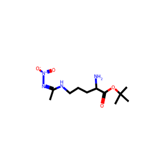 C/C(=N/[N+](=O)[O-])NCCCC(N)C(=O)OC(C)(C)C